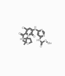 CC(C)(C)OC(=O)Nc1cc(Nc2cc(Cl)c3n(c2=O)C2(CCOC2(C)C)NC3=O)ncn1